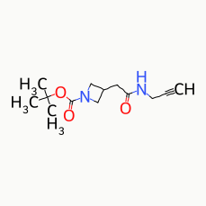 C#CCNC(=O)CC1CN(C(=O)OC(C)(C)C)C1